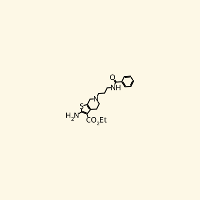 CCOC(=O)c1c(N)sc2c1CCN(CCCNC(=O)c1ccccc1)C2